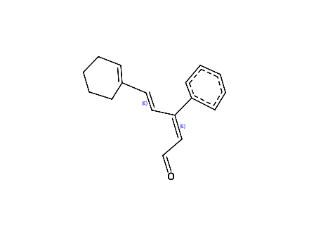 O=C/C=C(\C=C\C1=CCCCC1)c1ccccc1